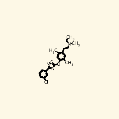 CCN(C)CCc1cc(C)c(Oc2nc(-c3cccc(Cl)c3)ns2)cc1C